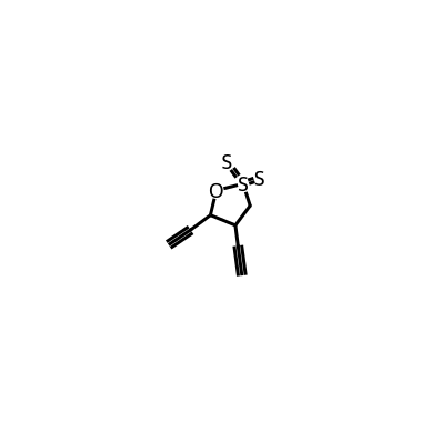 C#CC1CS(=S)(=S)OC1C#C